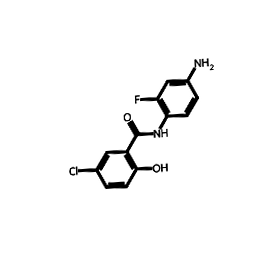 Nc1ccc(NC(=O)c2cc(Cl)ccc2O)c(F)c1